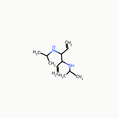 C=CC(NC(C)C)C(C=C)NC(C)C